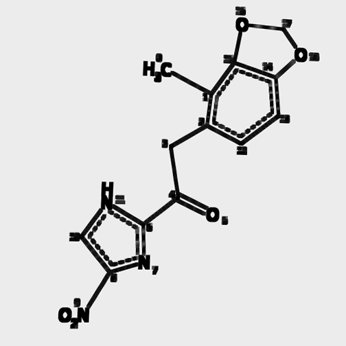 Cc1c(CC(=O)c2nc([N+](=O)[O-])c[nH]2)ccc2c1OCO2